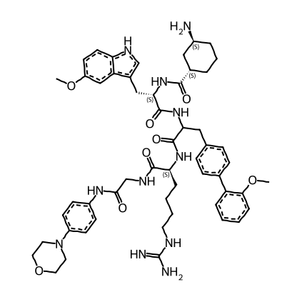 COc1ccc2[nH]cc(C[C@H](NC(=O)[C@H]3CCC[C@H](N)C3)C(=O)NC(Cc3ccc(-c4ccccc4OC)cc3)C(=O)N[C@@H](CCCCNC(=N)N)C(=O)NCC(=O)Nc3ccc(N4CCOCC4)cc3)c2c1